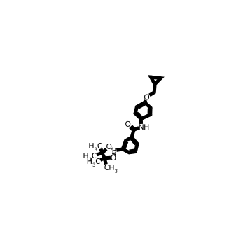 CC1(C)OB(c2cccc(C(=O)Nc3ccc(OCC4CC4)cc3)c2)OC1(C)C